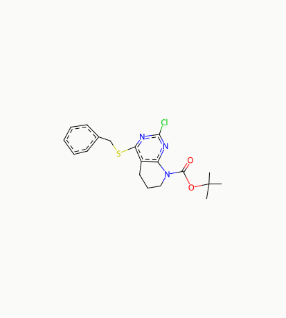 CC(C)(C)OC(=O)N1CCCc2c(SCc3ccccc3)nc(Cl)nc21